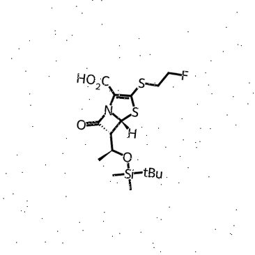 C[C@H](O[Si](C)(C)C(C)(C)C)[C@@H]1C(=O)N2C(C(=O)O)=C(SCCF)S[C@H]12